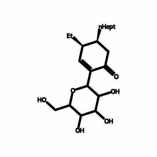 CCCCCCC[C@H]1CC(=O)C(C2OC(CO)C(O)C(O)C2O)=C[C@H]1CC